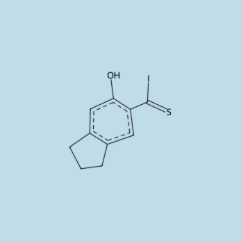 Oc1cc2c(cc1C(=S)I)CCC2